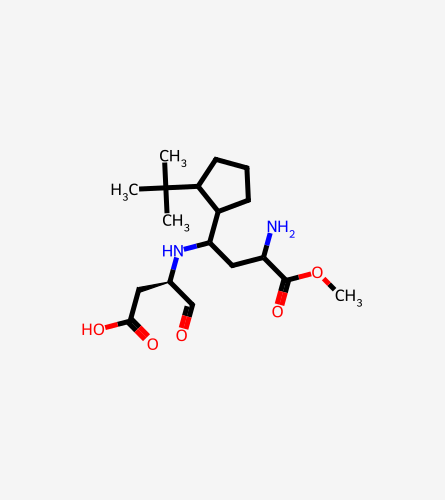 COC(=O)C(N)CC(N[C@@H](C=O)CC(=O)O)C1CCCC1C(C)(C)C